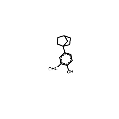 O=Cc1cc(C23CCC(CC2)C3)ccc1O